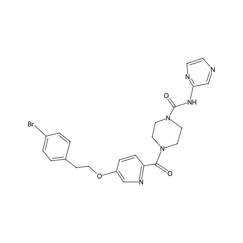 O=C(Nc1cnccn1)N1CCN(C(=O)c2ccc(OCCc3ccc(Br)cc3)cn2)CC1